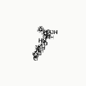 O=C(O)CC(NC(=O)CNC(=O)CCCNC(=O)NCc1ccc(Cl)cc1Cl)c1ccc(-c2ccccc2)cc1